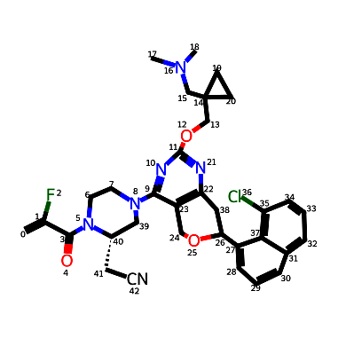 C=C(F)C(=O)N1CCN(c2nc(OCC3(CN(C)C)CC3)nc3c2COC(c2cccc4cccc(Cl)c24)C3)C[C@@H]1CC#N